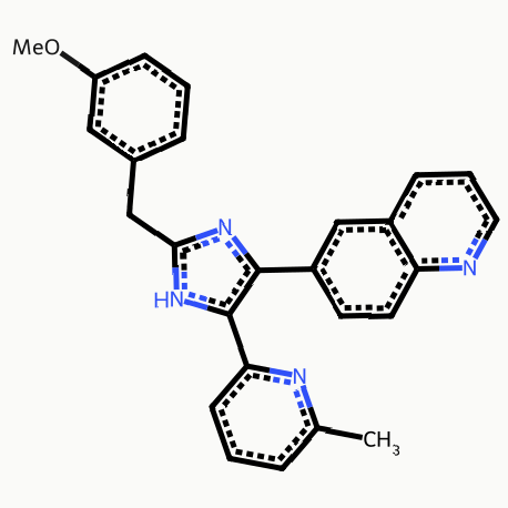 COc1cccc(Cc2nc(-c3ccc4ncccc4c3)c(-c3cccc(C)n3)[nH]2)c1